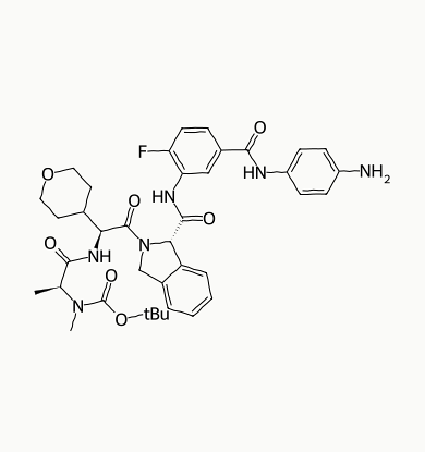 C[C@@H](C(=O)N[C@H](C(=O)N1Cc2ccccc2[C@H]1C(=O)Nc1cc(C(=O)Nc2ccc(N)cc2)ccc1F)C1CCOCC1)N(C)C(=O)OC(C)(C)C